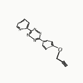 C#CCOc1ccc(-c2nnc(-c3ccccn3)nn2)cc1